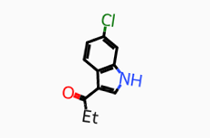 CCC(=O)c1c[nH]c2cc(Cl)ccc12